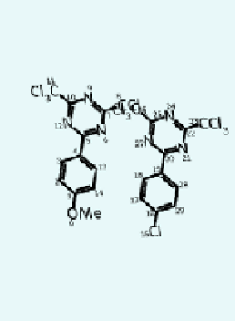 COc1ccc(-c2nc(C(Cl)(Cl)Cl)nc(C(Cl)(Cl)Cl)n2)cc1.Clc1ccc(-c2nc(C(Cl)(Cl)Cl)nc(C(Cl)(Cl)Cl)n2)cc1